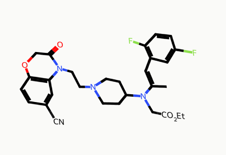 CCOC(=O)CN(C(C)=Cc1cc(F)ccc1F)C1CCN(CCN2C(=O)COc3ccc(C#N)cc32)CC1